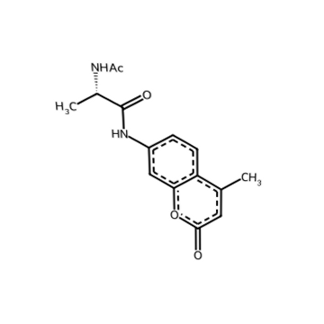 CC(=O)N[C@@H](C)C(=O)Nc1ccc2c(C)cc(=O)oc2c1